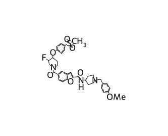 COc1ccc(CN2CCC(NC(=O)c3cc4cc(C(=O)N5CCC(Oc6ccc(S(C)(=O)=O)cc6)C(F)C5)ccc4o3)CC2)cc1